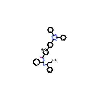 C=C(\C=C/C(=C\C)C(/I)=N/C(=N\C(CCC)c1ccccc1)C1=CC=CC=CC1)c1ccc(-c2nc(-c3ccccc3)nc(-c3ccccc3)n2)cc1